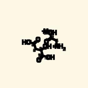 NCC(=O)O.O=C(O)CC(O)C(=O)O.[Mn]